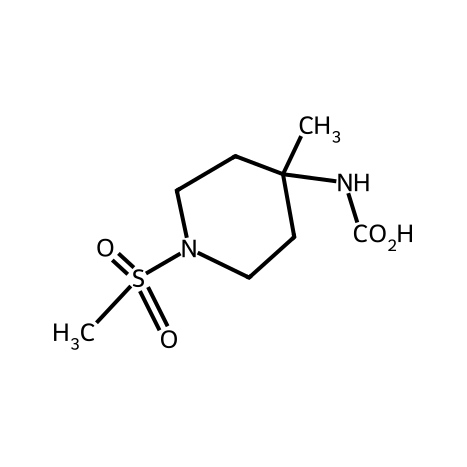 CC1(NC(=O)O)CCN(S(C)(=O)=O)CC1